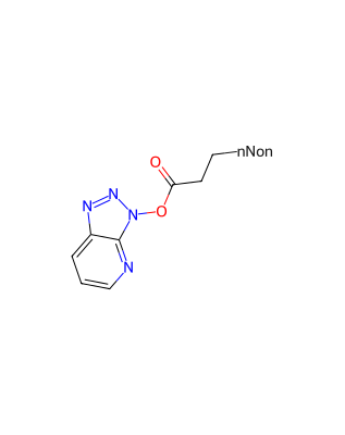 CCCCCCCCCCCC(=O)On1nnc2cccnc21